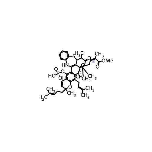 COC(=O)/C(C)=C\CC12OC(C)(C)C(C)C13Oc1c(CC=C(C)C)c4c(c(OP(=O)(O)O)c1C1=C3C(Sc3ccccc3N1)C(C)C2=O)C=CC(C)(CCC=C(C)C)O4